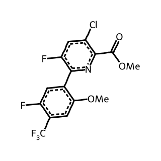 COC(=O)c1nc(-c2cc(F)c(C(F)(F)F)cc2OC)c(F)cc1Cl